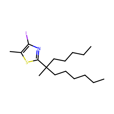 CCCCCCC(C)(CCCCC)c1nc(I)c(C)s1